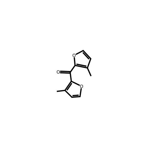 Cc1ccoc1C(=O)c1occc1C